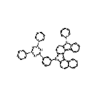 c1ccc(-c2nc(-c3ccccc3)nc(-c3cccc(-n4c5ccc6ccccc6c5c5c6c7ccccc7n(-c7ccccc7)c6ccc54)c3)n2)cc1